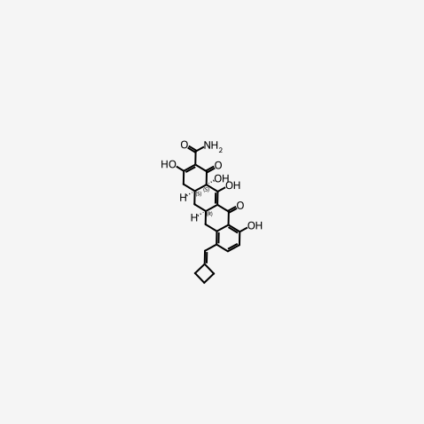 NC(=O)C1=C(O)C[C@@H]2C[C@@H]3Cc4c(C=C5CCC5)ccc(O)c4C(=O)C3=C(O)[C@]2(O)C1=O